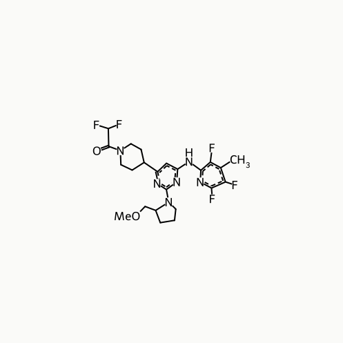 COCC1CCCN1c1nc(Nc2nc(F)c(F)c(C)c2F)cc(C2CCN(C(=O)C(F)F)CC2)n1